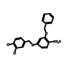 O=C(O)c1ccc(OCc2ccc(Cl)c(Cl)c2)cc1OCc1ccccc1